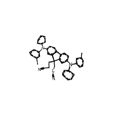 Cc1cccc(N(c2ccccc2)c2ccc3c(c2)C(CCC#N)(CCC#N)c2cc(N(c4ccccc4)c4cccc(C)c4)ccc2-3)c1